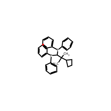 CC(C)(C1CCC1)C(P(c1ccccc1)c1ccccc1)P(c1ccccc1)c1ccccc1